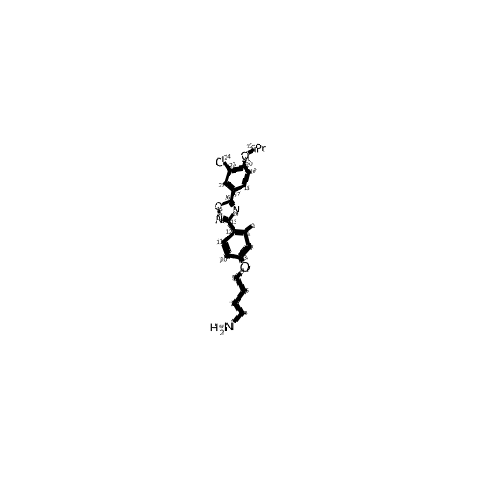 Cc1cc(OCCCCN)ccc1-c1noc(-c2ccc(OC(C)C)c(Cl)c2)n1